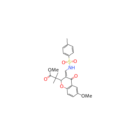 COC(=O)C(C)(C)C1Oc2ccc(OC)cc2C(=O)/C1=C\NS(=O)(=O)c1ccc(C)cc1